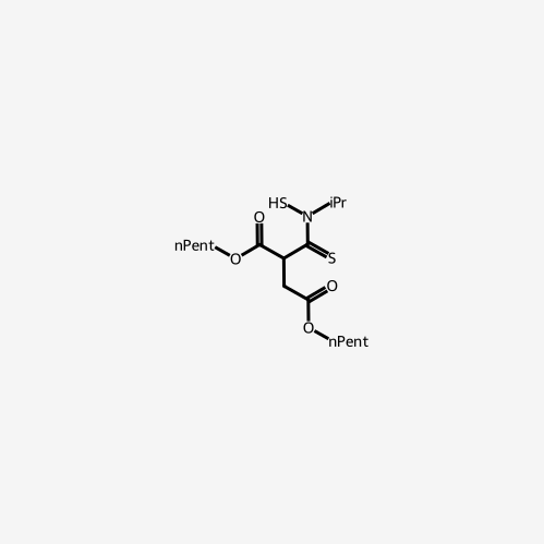 CCCCCOC(=O)CC(C(=O)OCCCCC)C(=S)N(S)C(C)C